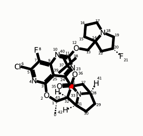 C[C@@H]1Oc2nc(Cl)c(F)c3nc(OCC45CCCN4C[C@H](F)C5)nc(c23)N2C[C@H]3CC[C@@H]([C@@H]12)N3C(=O)OC(C)(C)C